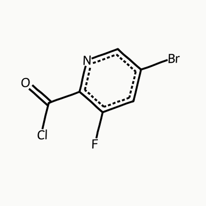 O=C(Cl)c1ncc(Br)cc1F